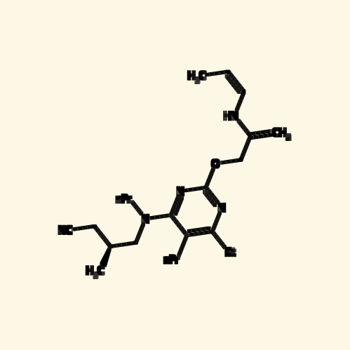 C=C(COc1nc(CC)c(CCC)c(N(CCC)C[C@@H](C)CC#N)n1)N/C=C\C